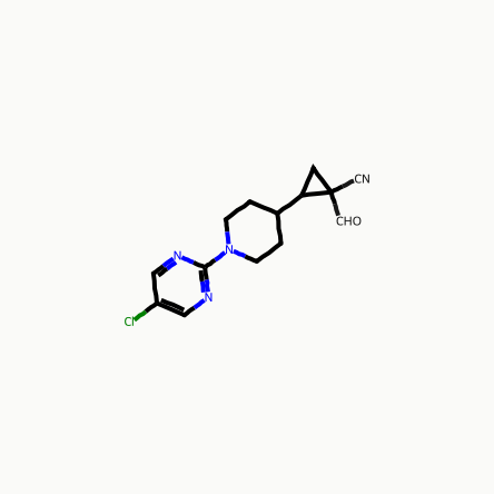 N#CC1(C=O)CC1C1CCN(c2ncc(Cl)cn2)CC1